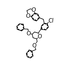 Clc1ccc(C2CC(OCc3ccccc3)CC(COCc3ccccc3)O2)cc1Cc1ccc2c(c1)OCCO2